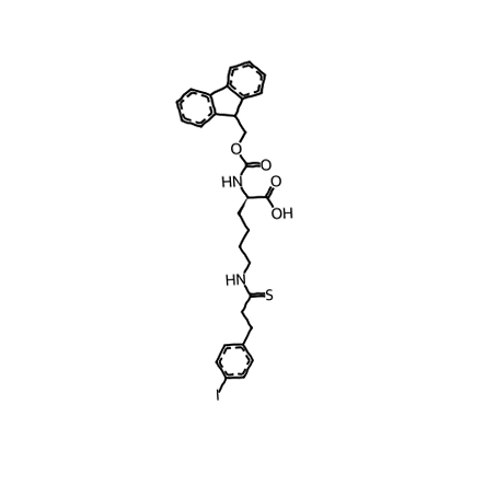 O=C(N[C@H](CCCCNC(=S)CCc1ccc(I)cc1)C(=O)O)OCC1c2ccccc2-c2ccccc21